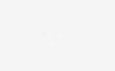 [CH2][C@H](NS(=O)(=O)c1ccc(Cl)cc1)C(C(F)(F)F)C(F)(F)F